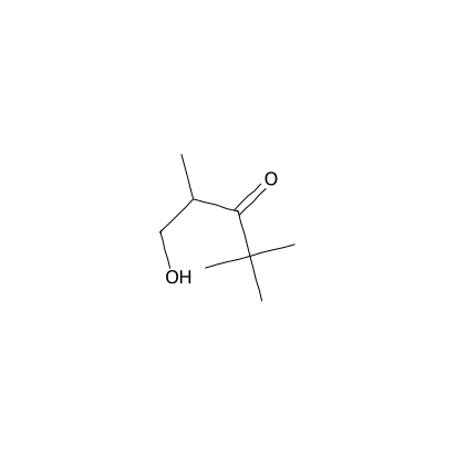 CC(CO)C(=O)C(C)(C)C